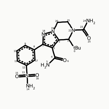 CC(C)(C)C1c2c(C(N)=O)c(-c3cccc(S(N)(=O)=O)c3)nn2CCN1C(N)=O